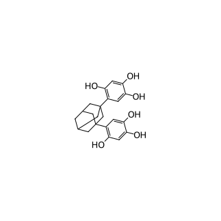 Oc1cc(O)c(C23CC4CC(C2)CC(c2cc(O)c(O)cc2O)(C4)C3)cc1O